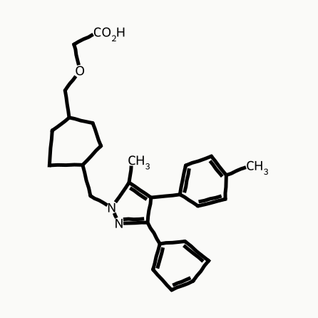 Cc1ccc(-c2c(-c3ccccc3)nn(CC3CCC(COCC(=O)O)CC3)c2C)cc1